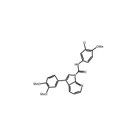 COc1ccc(NC(=O)n2cc(-c3ccc(OC)c(OC)c3)c3cccnc32)cc1Cl